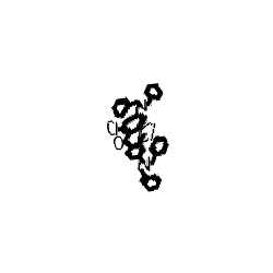 O=C(c1ccc(N(Cc2ccccc2)Cc2ccccc2)cc1Cl)c1ccc(N(Cc2ccccc2)Cc2ccccc2)cc1Cl